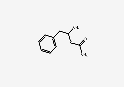 CC(=O)SC(C)Cc1ccccc1